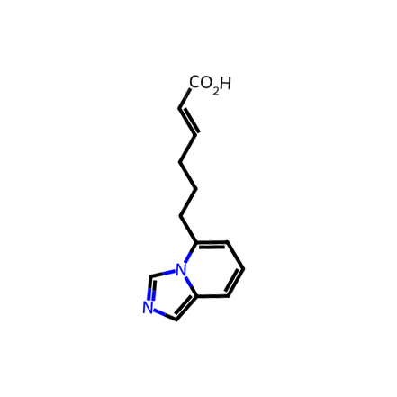 O=C(O)C=CCCCc1cccc2cncn12